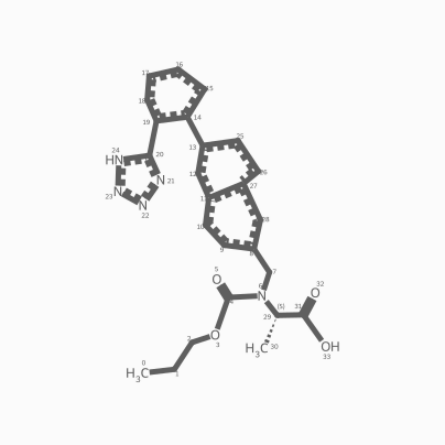 CCCOC(=O)N(Cc1ccc2cc(-c3ccccc3-c3nnn[nH]3)ccc2c1)[C@@H](C)C(=O)O